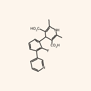 CC1=C(C(=O)O)C(c2cccc(-c3cccnc3)c2F)C(C(=O)O)=C(C)N1